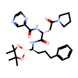 CC1(C)OB([C@H](CCCc2ccccc2)NC(=O)[C@@H](CC(=O)N2CCCC2)NC(=O)c2cnccn2)OC1(C)C